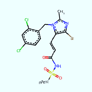 CCCCCS(=O)(=O)NC(=O)C=Cc1c(Br)nc(C)n1Cc1ccc(Cl)cc1Cl